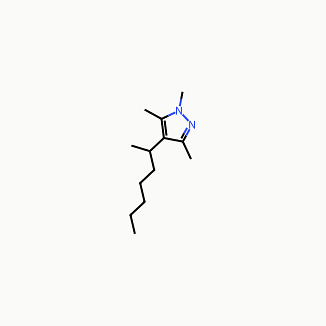 CCCCCC(C)c1c(C)nn(C)c1C